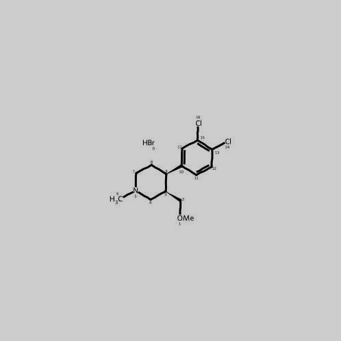 Br.COC[C@H]1CN(C)CC[C@H]1c1ccc(Cl)c(Cl)c1